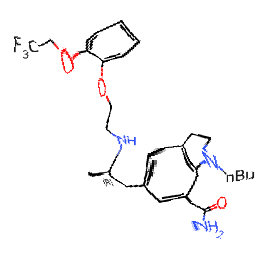 CCCCN1CCc2cc(C[C@@H](C)NCCOc3ccccc3OCC(F)(F)F)cc(C(N)=O)c21